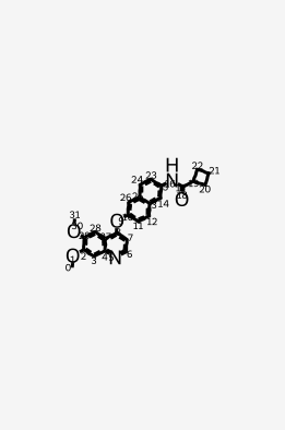 COc1cc2nccc(Oc3ccc4cc(NC(=O)C5CCC5)ccc4c3)c2cc1OC